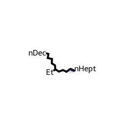 [CH2]CCCCCC/C=C/CCCC(CC)CCCCCCCCCCCCCC[CH2]